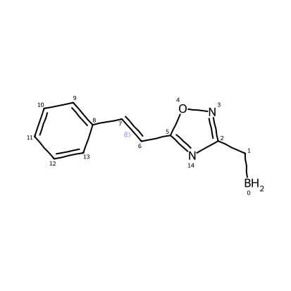 BCc1noc(/C=C/c2ccccc2)n1